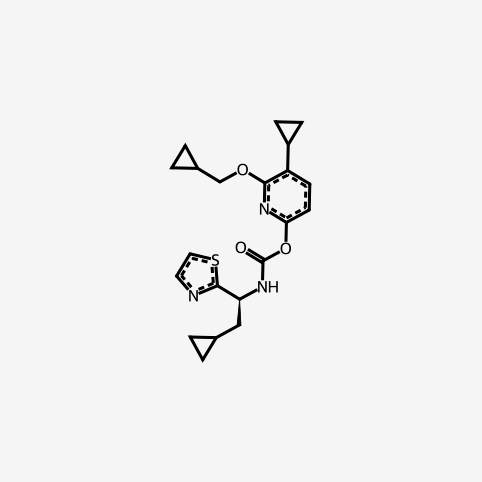 O=C(N[C@@H](CC1CC1)c1nccs1)Oc1ccc(C2CC2)c(OCC2CC2)n1